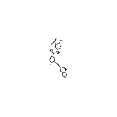 CCc1ccc(NC(=O)c2ccc(C)c(C#Cc3cnc4sncc4c3)c2)cc1C(F)(F)F